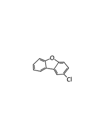 Clc1ccc2oc3ccccc3c2c1